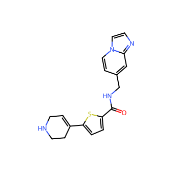 O=C(NCc1ccn2ccnc2c1)c1ccc(C2=CCNCC2)s1